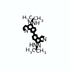 CC(C)c1nc2c3cnccc3c3cc(-c4ccc5c(c4)c4ncccc4c4nc(C(C)C)[nH]c54)ccc3c2[nH]1